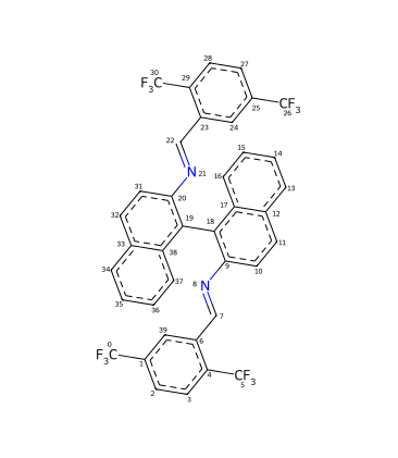 FC(F)(F)c1ccc(C(F)(F)F)c(C=Nc2ccc3ccccc3c2-c2c(N=Cc3cc(C(F)(F)F)ccc3C(F)(F)F)ccc3ccccc23)c1